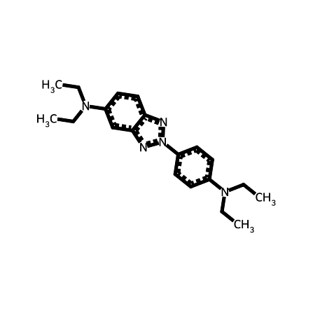 CCN(CC)c1ccc(-n2nc3ccc(N(CC)CC)cc3n2)cc1